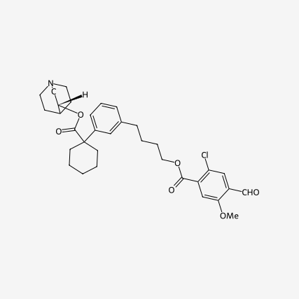 COc1cc(C(=O)OCCCCc2cccc(C3(C(=O)O[C@H]4CN5CCC4CC5)CCCCC3)c2)c(Cl)cc1C=O